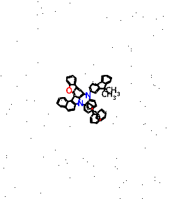 CC1(C)c2ccccc2-c2ccc(N(c3ccc(C4C=CC=CC4)cc3)c3cc4c5ccccc5oc4c4c5c6ccccc6ccc5n(-c5ccc(-c6ccccc6)cc5)c34)cc21